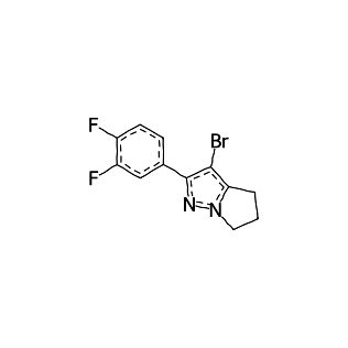 Fc1ccc(-c2nn3c(c2Br)CCC3)cc1F